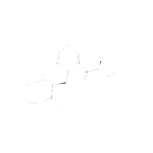 COC(=O)[C@H](Cc1ccccc1C(=O)[C@@H](N)CC(=O)O)NC=O